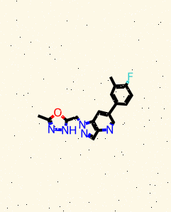 CC1=NNC(Cn2ncc3ncc(-c4ccc(F)c(C)c4)cc32)O1